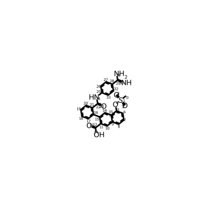 CS(=O)(=O)Oc1cccc2cc(C(=O)O)c(-c3ccccc3C(=O)Nc3ccc(C(=N)N)cc3)cc12